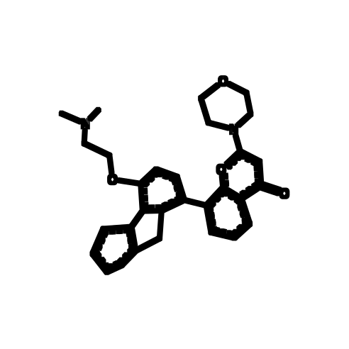 CN(C)CCOc1ccc(-c2cccc3c(=O)cc(N4CCOCC4)oc23)c2c1-c1ccccc1C2